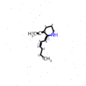 C=C=C1CCCN/C1=C/C=C\CCC